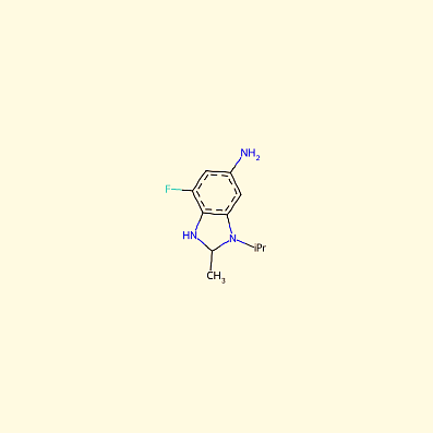 CC(C)N1c2cc(N)cc(F)c2NC1C